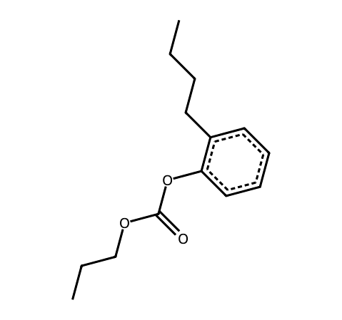 CCCCc1ccccc1OC(=O)OCCC